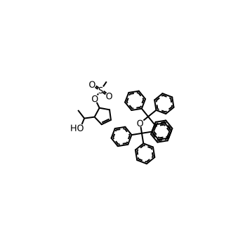 CC(O)C1C=CCC1OS(C)(=O)=O.c1ccc(C(OC(c2ccccc2)(c2ccccc2)c2ccccc2)(c2ccccc2)c2ccccc2)cc1